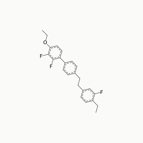 CCOc1ccc(-c2ccc(CCc3ccc(CC)c(F)c3)cc2)c(F)c1F